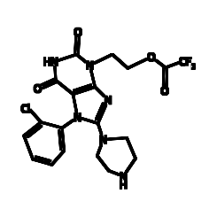 O=C(OCCn1c(=O)[nH]c(=O)c2c1nc(N1CCNCC1)n2-c1ccccc1Cl)C(F)(F)F